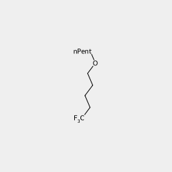 [CH2]CCCCOCCCCC(F)(F)F